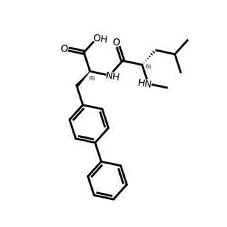 CN[C@@H](CC(C)C)C(=O)N[C@@H](Cc1ccc(-c2ccccc2)cc1)C(=O)O